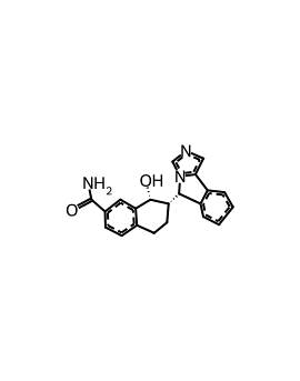 NC(=O)c1ccc2c(c1)[C@H](O)[C@H](C1c3ccccc3-c3cncn31)CC2